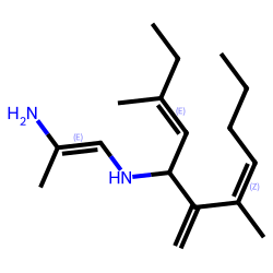 C=C(/C(C)=C\CCC)C(/C=C(\C)CC)N/C=C(\C)N